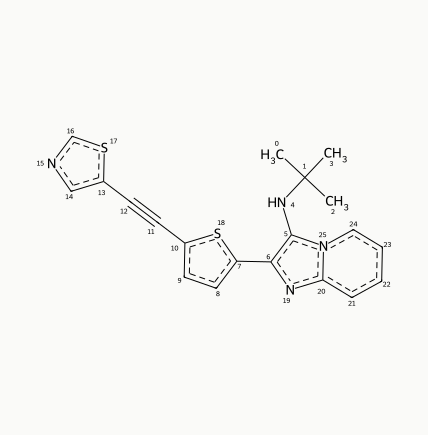 CC(C)(C)Nc1c(-c2ccc(C#Cc3cncs3)s2)nc2ccccn12